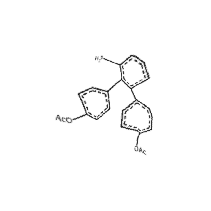 CC(=O)Oc1ccc(-c2cccc(P)c2-c2ccc(OC(C)=O)cc2)cc1